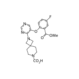 COC(=O)c1cc(F)ccc1Oc1cncnc1N1CC2(CCN(C(=O)O)CC2)C1